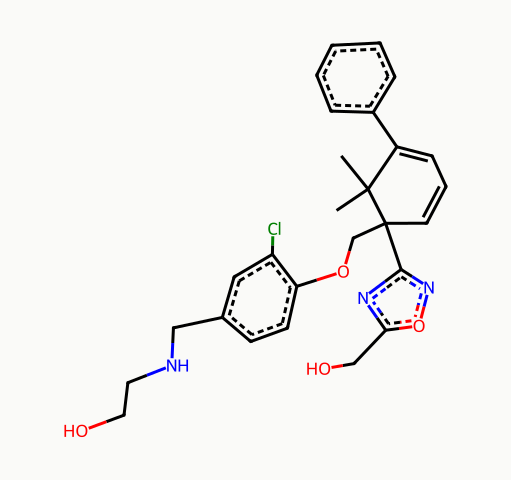 CC1(C)C(c2ccccc2)=CC=CC1(COc1ccc(CNCCO)cc1Cl)c1noc(CO)n1